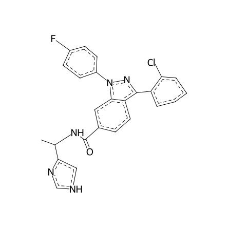 CC(NC(=O)c1ccc2c(-c3ccccc3Cl)nn(-c3ccc(F)cc3)c2c1)c1c[nH]cn1